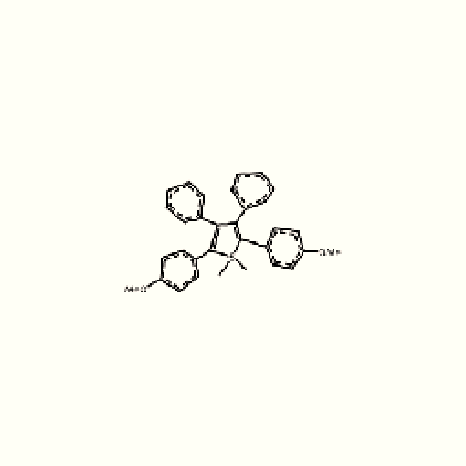 COc1ccc(C2=C(c3ccccc3)C(c3ccccc3)=C(c3ccc(OC)cc3)S2(C)C)cc1